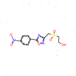 O=[N+]([O-])c1ccc(-c2nc(CS(=O)(=O)CCO)no2)cc1